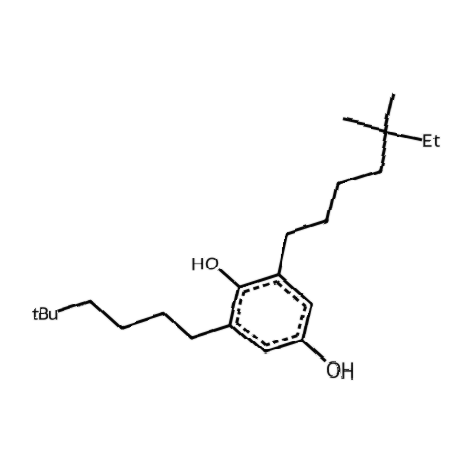 CCC(C)(C)CCCCc1cc(O)cc(CCCCC(C)(C)C)c1O